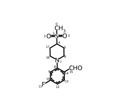 CS(=O)(=O)C1CCN(c2cc(F)c[c]c2C=O)CC1